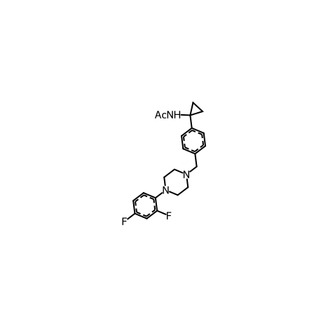 CC(=O)NC1(c2ccc(CN3CCN(c4ccc(F)cc4F)CC3)cc2)CC1